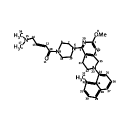 COc1nc2c(c(N3CCN(C(=O)/C=C/CN(C)C)CC3)n1)CCN(c1cccc3cccc(C)c13)C2